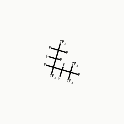 FC(F)(F)C(F)(F)C(F)(F)C(F)(C(F)(F)F)C(F)(F)C(F)(C(F)(F)F)C(F)(F)F